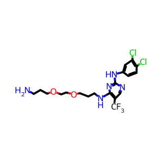 NCCCOCCOCCCNc1nc(Nc2ccc(Cl)c(Cl)c2)ncc1C(F)(F)F